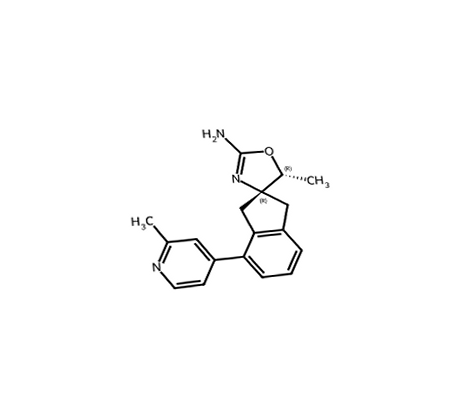 Cc1cc(-c2cccc3c2C[C@@]2(C3)N=C(N)O[C@@H]2C)ccn1